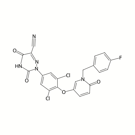 N#Cc1nn(-c2cc(Cl)c(Oc3ccc(=O)n(Cc4ccc(F)cc4)c3)c(Cl)c2)c(=O)[nH]c1=O